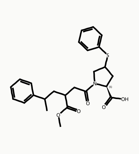 COC(=O)C(CC(=O)N1CC(Sc2ccccc2)C[C@H]1C(=O)O)CC(C)c1ccccc1